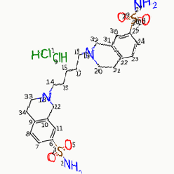 Cl.Cl.NS(=O)(=O)c1ccc2c(c1)CN(CCCCCN1CCc3ccc(S(N)(=O)=O)cc3C1)CC2